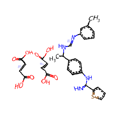 Cc1cccc(/N=C/NC(C)c2ccc(NC(=N)c3cccs3)cc2)c1.O=C(O)/C=C/C(=O)O.O=C(O)/C=C/C(=O)O